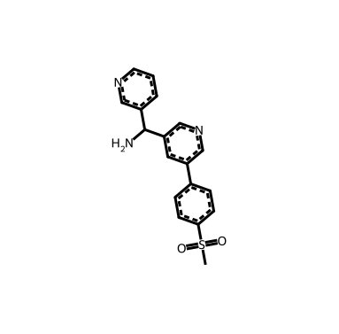 CS(=O)(=O)c1ccc(-c2cncc(C(N)c3cccnc3)c2)cc1